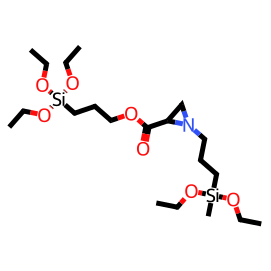 CCO[Si](C)(CCCN1CC1C(=O)OCCC[Si](OCC)(OCC)OCC)OCC